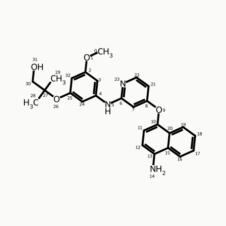 COc1cc(Nc2cc(Oc3ccc(N)c4ccccc34)ccn2)cc(OC(C)(C)CO)c1